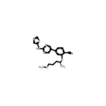 COCCC[C@H](C)Oc1cc(-c2cnc(Nc3cncs3)nc2)ccc1C#N